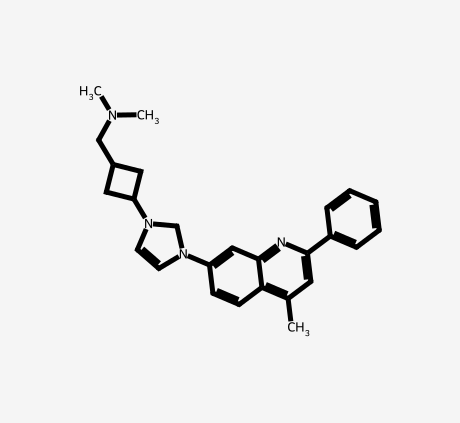 Cc1cc(-c2ccccc2)nc2cc(N3C=CN(C4CC(CN(C)C)C4)C3)ccc12